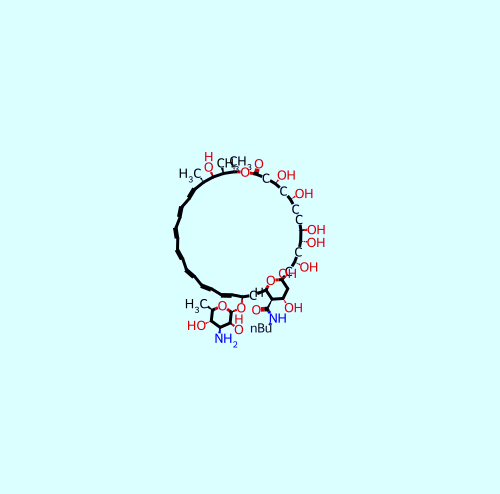 CCCCNC(=O)[C@H]1[C@@H]2C[C@@H](O[C@@H]3O[C@H](C)[C@@H](O)[C@H](N)[C@@H]3O)/C=C/C=C/C=C/C=C/C=C/C=C/C=C/[C@H](C)[C@@H](O)[C@@H](C)[C@H](C)OC(=O)C[C@H](O)C[C@H](O)CC[C@@H](O)[C@H](O)C[C@H](O)C[C@](O)(C[C@@H]1O)O2